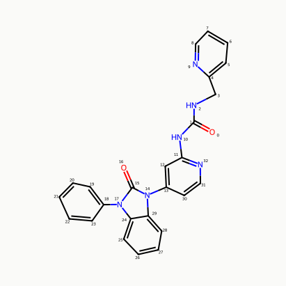 O=C(NCc1ccccn1)Nc1cc(-n2c(=O)n(-c3ccccc3)c3ccccc32)ccn1